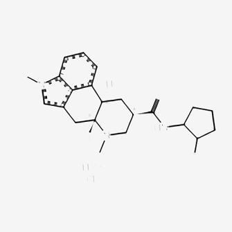 CC(C)n1cc2c3c(cccc31)[C@H]1C[C@@H](C(=O)NC3CCCC3O)CN(C)[C@@H]1C2.Cl.O